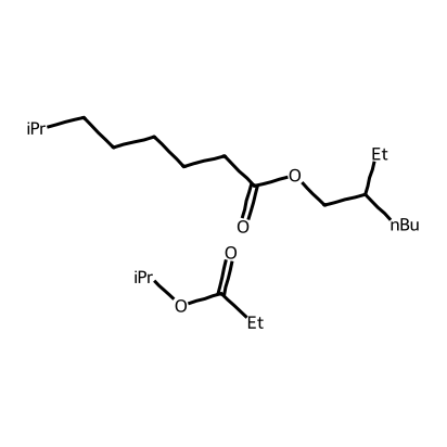 CCC(=O)OC(C)C.CCCCC(CC)COC(=O)CCCCCC(C)C